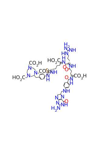 N=C(N)NCCC[C@H](NC(=O)CC[C@H](NC(=O)c1ccc(NCc2cnc3nc(N)[nH]c(=O)c3n2)cc1)C(=O)O)C(=O)N[C@@H](CCCCNC(=S)Nc1ccc(CC2CN(CC(=O)O)CCN(CC(=O)O)CCN2CC(=O)O)cc1)C(=O)O